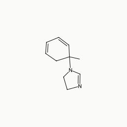 CC1(N2C=NCC2)C=CC=CC1